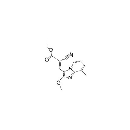 CCOC(=O)C(C#N)=Cc1c(OC)nc2c(C)cccn12